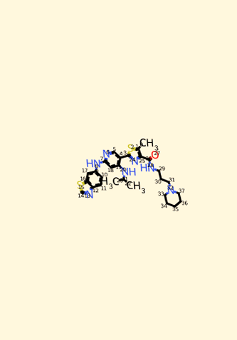 Cc1sc(-c2cnc(Nc3ccc4ncsc4c3)cc2NC(C)C)nc1C(=O)NCCCN1CCCCC1